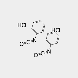 Cl.Cl.O=C=Nc1ccccc1.O=C=Nc1ccccc1